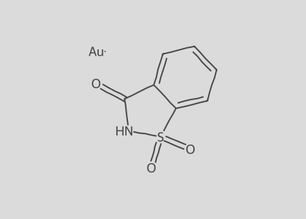 O=C1NS(=O)(=O)c2ccccc21.[Au]